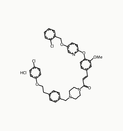 COc1cc(/C=C/C(=O)N2CCN(Cc3ccc(CCOc4ccc(Cl)cc4)cc3)CC2)ccc1Oc1ccc(OCc2ccccc2Cl)cn1.Cl